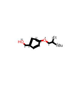 CCCCC(CC)COc1ccc(CO)cc1